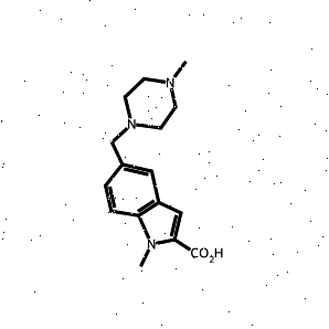 CN1CCN(Cc2ccc3c(c2)cc(C(=O)O)n3C)CC1